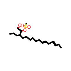 CC/C=C/C/C=C/CCCCCCC(CCC)C(C=O)OS(C)(=O)=O